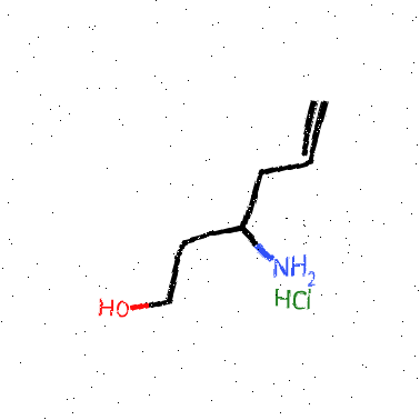 C=CCC(N)CCO.Cl